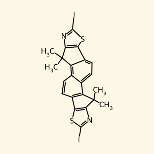 CC1(C)c2nc(I)sc2-c2ccc3c4c(ccc3c21)-c1sc(I)nc1C4(C)C